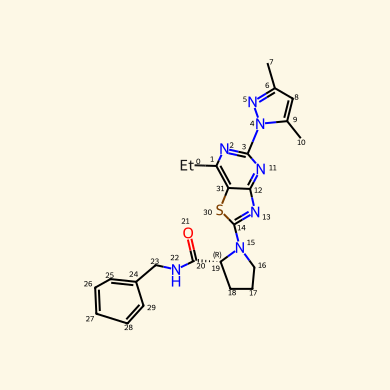 CCc1nc(-n2nc(C)cc2C)nc2nc(N3CCC[C@@H]3C(=O)NCc3ccccc3)sc12